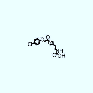 O=C(O)NCCC1CN(C(=O)COc2ccc(Cl)cc2)C1